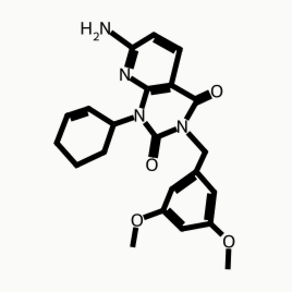 COc1cc(Cn2c(=O)c3ccc(N)nc3n(C3C=CCCC3)c2=O)cc(OC)c1